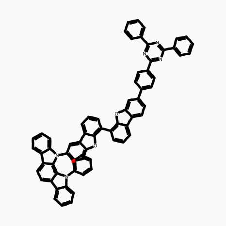 c1ccc(-c2nc(-c3ccccc3)nc(-c3ccc(-c4ccc5c(c4)oc4c(-c6cccc7c6oc6ccc(-n8c9ccccc9c9ccc%10c%11ccccc%11n(-c%11ccccc%11)c%10c98)cc67)cccc45)cc3)n2)cc1